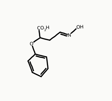 O=C(O)C(CC=NO)Oc1ccccc1